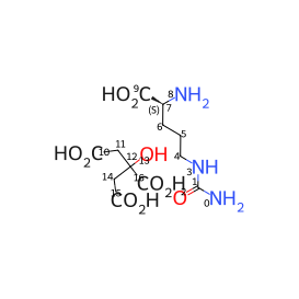 NC(=O)NCCC[C@H](N)C(=O)O.O=C(O)CC(O)(CC(=O)O)C(=O)O